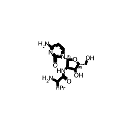 CCCC(N)C(=O)NC1C(O)[C@@H](CO)O[C@H]1n1ccc(N)nc1=O